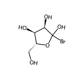 OC[C@H]1OC(O)(Br)[C@H](O)[C@@H]1O